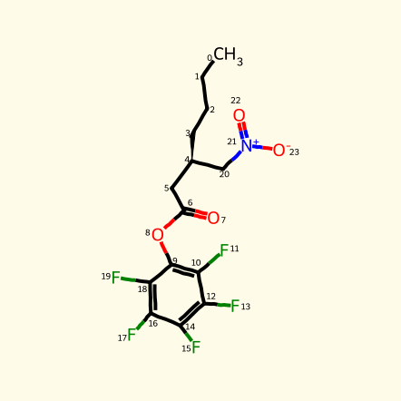 CCCC[C@H](CC(=O)Oc1c(F)c(F)c(F)c(F)c1F)C[N+](=O)[O-]